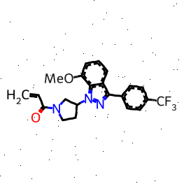 C=CC(=O)N1CCC(n2nc(-c3ccc(C(F)(F)F)cc3)c3cccc(OC)c32)C1